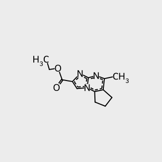 CCOC(=O)c1cn2c3c(c(C)nc2n1)CCC3